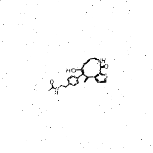 C=C1/C(c2ccc(CCNC(C)=O)cc2)=C(O)\C=C/CNC(=O)c2sccc21